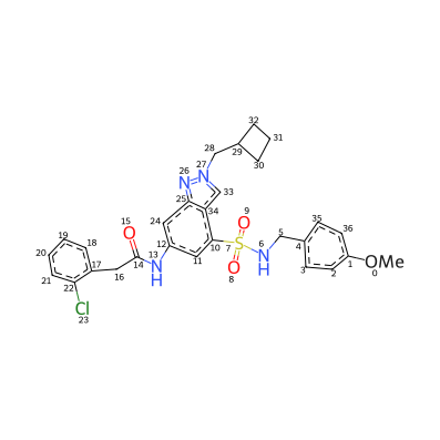 COc1ccc(CNS(=O)(=O)c2cc(NC(=O)Cc3ccccc3Cl)cc3nn(CC4CCC4)cc23)cc1